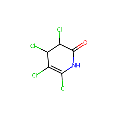 O=C1NC(Cl)=C(Cl)C(Cl)C1Cl